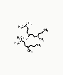 CN(C)CCN(C)CCN.CN(C)CCN(C)CCN(C)CCN